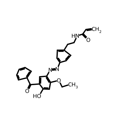 C=CC(=O)NCCc1ccc(N=Nc2cc(C(=O)c3ccccc3)c(O)cc2OCC)cc1